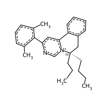 CCCC[C@@]1(CCC)Cc2ccccc2-c2cc(-c3c(C)cccc3C)nc[n+]21